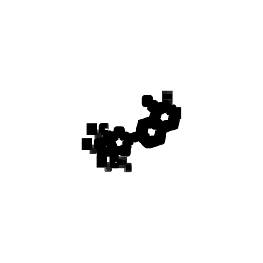 CC1(C)OB(c2ccc3cn[nH]c(=O)c3c2)OC1(C)C